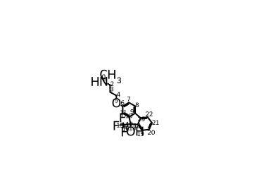 CNCCCOc1ccc2c(c1)C(O)(C(F)(F)F)c1ccccc1-2